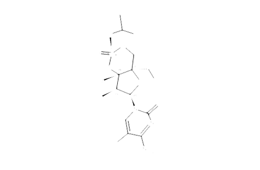 CC(C)O[P@@]1(=O)OC[C@@]2(CCl)O[C@@H](n3cc(F)c(N)nc3=O)[C@@H](F)[C@@H]2O1